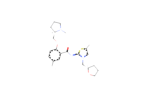 CN1CCC[C@@H]1COc1ccc(C(F)(F)F)cc1C(=O)/N=c1\sc(C(C)(C)C)cn1C[C@H]1CCCO1